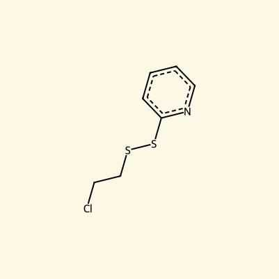 ClCCSSc1ccccn1